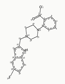 O=[N+]([O-])c1ccccc1N1CCN(Cc2cc3cc(F)ccc3[nH]2)CC1